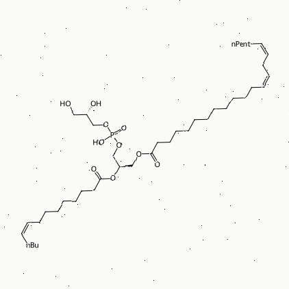 CCCC/C=C\CCCCCCCC(=O)O[C@H](COC(=O)CCCCCCCCCCC/C=C\C/C=C\CCCCC)COP(=O)(O)OC[C@@H](O)CO